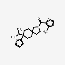 Cc1ccsc1C(=O)N1CCC2(CCC(c3cccs3)(N(C)C)CC2)C1